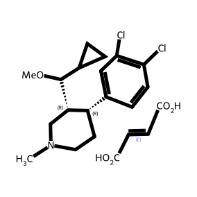 COC(C1CC1)[C@H]1CN(C)CC[C@H]1c1ccc(Cl)c(Cl)c1.O=C(O)/C=C/C(=O)O